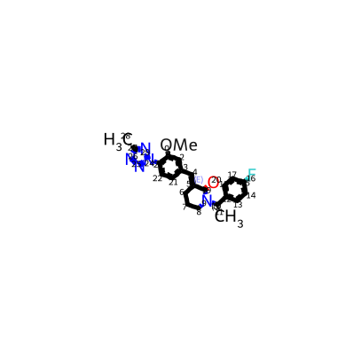 COc1cc(/C=C2\CCCN([C@@H](C)c3ccc(F)cc3)C2=O)ccc1-n1nnc(C)n1